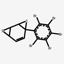 Brc1c(Br)c(Br)c(C23C=CC4SC4C2S3)c(Br)c1Br